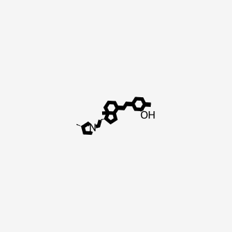 C=C1CC/C(=C/C=C2\CCCC3(C)C2CC[C@@H]3CCN2CC[C@H](C)C2)CC1O